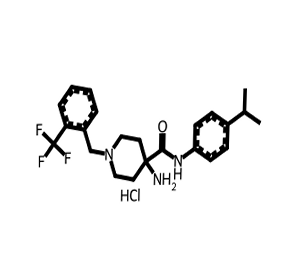 CC(C)c1ccc(NC(=O)C2(N)CCN(Cc3ccccc3C(F)(F)F)CC2)cc1.Cl